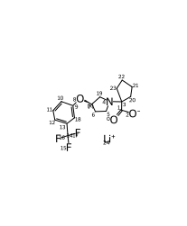 O=C([O-])C1(N2CC[C@@H](Oc3cccc(C(F)(F)F)c3)C2)CCCC1.[Li+]